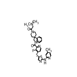 Cc1ccnc(Nc2ncc(Sc3ccnc(C(=O)NCC4(c5ccccc5)CCN(C(=O)CN(C)C)CC4)c3F)s2)c1